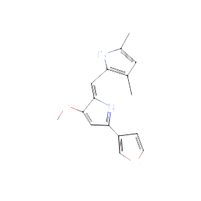 COC1=CC(c2ccoc2)=NC1=Cc1[nH]c(C)cc1C